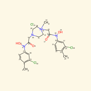 Cc1ccc(N(O)C(=O)CN2CC[N+](C)(CC(=O)N(O)c3ccc(C)c(Cl)c3)CC2)cc1Cl.[Cl-]